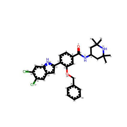 CC1(C)CC(NC(=O)c2ccc(-c3cc4cc(Cl)c(Cl)cc4[nH]3)c(OCc3ccccc3)c2)CC(C)(C)N1